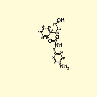 Nc1ccc(CNC(=O)O[C@H](CCO)c2ccccc2)cc1